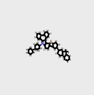 CC1(C)c2ccccc2-c2ccc(-c3ccc4sc5c(ccc6c5c5c7ccccc7c7ccccc7c5n6-c5ccc(-c6ccccc6)cc5)c4c3)cc21